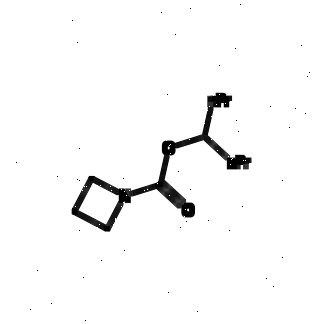 CCCC(CCC)OC(=O)N1CCC1